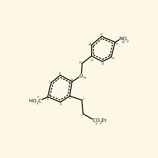 CCOC(=O)CCc1cc(C(=O)O)ccc1OCc1ccc([N+](=O)[O-])cc1